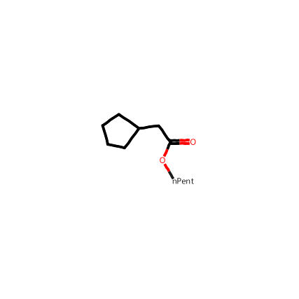 CCCCCOC(=O)CC1CCCC1